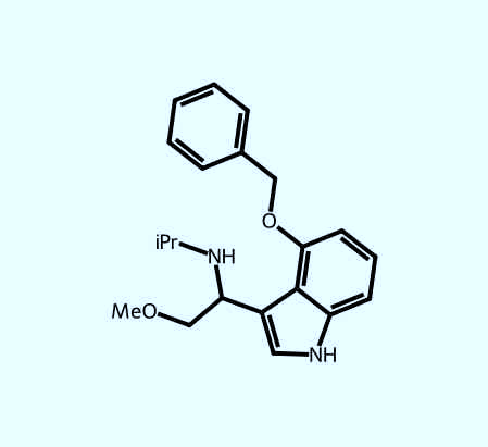 COCC(NC(C)C)c1c[nH]c2cccc(OCc3ccccc3)c12